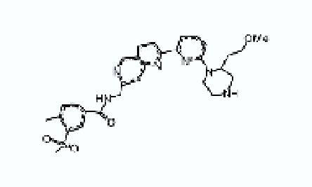 COCCC1CNCCN1c1cccc(-c2ccc3cnc(CNC(=O)c4ccc(C)c(S(C)(=O)=O)c4)cc3n2)n1